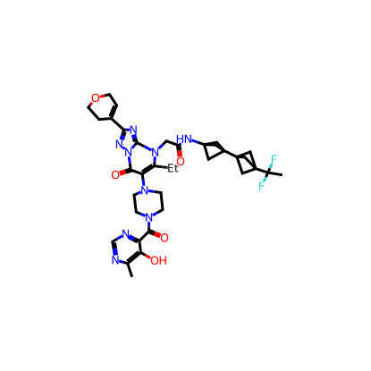 CCc1c(N2CCN(C(=O)c3ncnc(C)c3O)CC2)c(=O)n2nc(C3=CCOCC3)nc2n1CC(=O)NC12CC(C34CC(C(C)(F)F)(C3)C4)(C1)C2